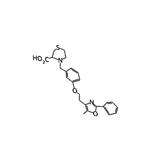 Cc1oc(-c2ccccc2)nc1CCOc1cccc(CN2CCSCC2C(=O)O)c1